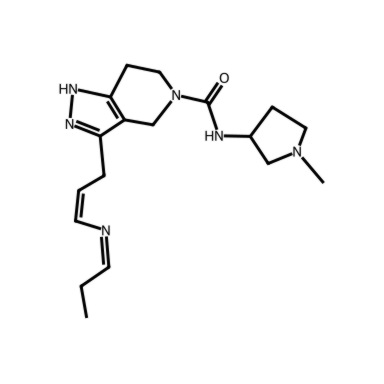 CC/C=N\C=C/Cc1n[nH]c2c1CN(C(=O)NC1CCN(C)C1)CC2